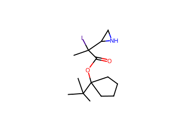 CC(I)(C(=O)OC1(C(C)(C)C)CCCC1)C1CN1